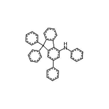 c1ccc(Nc2cc(-c3ccccc3)cc3c2-c2ccccc2C3(c2ccccc2)c2ccccc2)cc1